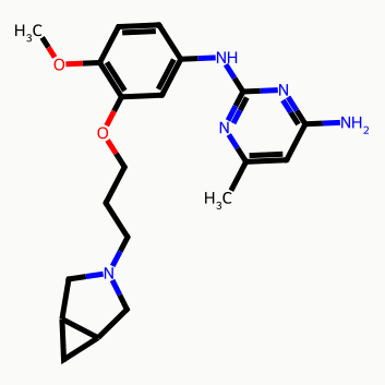 COc1ccc(Nc2nc(C)cc(N)n2)cc1OCCCN1CC2CC2C1